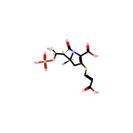 C[C@H](OS(=O)(=O)O)[C@@H]1C(=O)N2C(C(=O)O)=C(SC=CC(=O)O)C[C@H]12